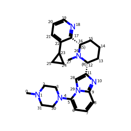 CN1CCN(c2cccc3nc([C@H]4CCC[C@@H](c5ncccc5C5CC5)N4C)cn23)CC1